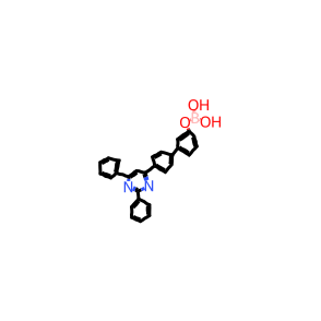 OB(O)Oc1cccc(-c2ccc(-c3cc(-c4ccccc4)nc(-c4ccccc4)n3)cc2)c1